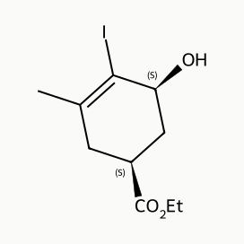 CCOC(=O)[C@H]1CC(C)=C(I)[C@@H](O)C1